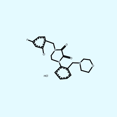 Cl.O=C1C(=O)N(c2ccccc2CN2CCOCC2)CCN1Cc1ccc(F)cc1Cl